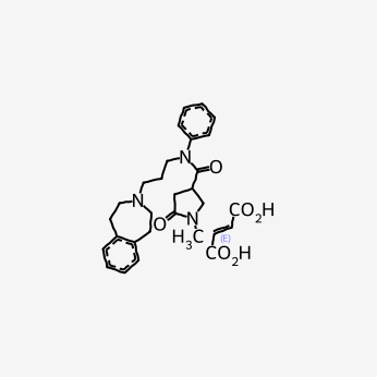 CN1CC(C(=O)N(CCCN2CCc3ccccc3CC2)c2ccccc2)CC1=O.O=C(O)/C=C/C(=O)O